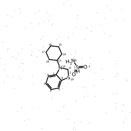 N[SH](=O)=O.c1ccc2c(c1)SCN2C1CCCCC1